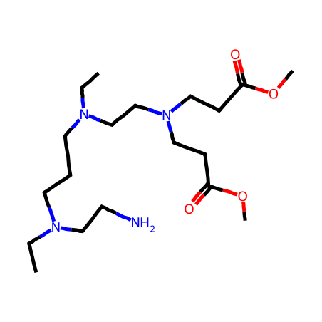 CCN(CCN)CCCN(CC)CCN(CCC(=O)OC)CCC(=O)OC